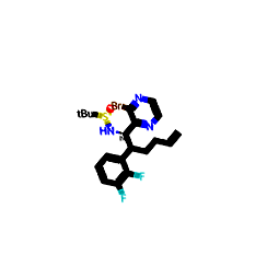 C=CCCC(c1cccc(F)c1F)[C@H](N[S+]([O-])C(C)(C)C)c1nccnc1Br